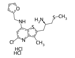 CSC[C@H](N)Cc1sc2c(NCc3ccco3)cc(Cl)nc2c1C.Cl.Cl